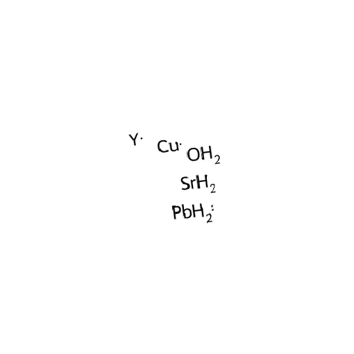 O.[Cu].[PbH2].[SrH2].[Y]